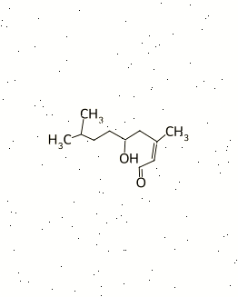 CC(=CC=O)CC(O)CCC(C)C